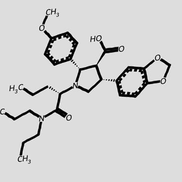 CCC[C@@H](C(=O)N(CCC)CCC)N1C[C@@H](c2ccc3c(c2)OCO3)[C@H](C(=O)O)[C@H]1c1ccc(OC)cc1